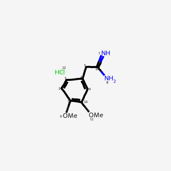 COc1ccc(CC(=N)N)cc1OC.Cl